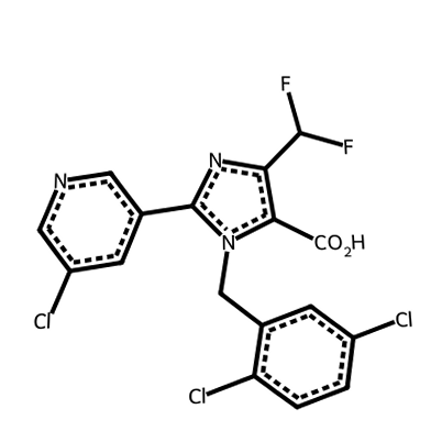 O=C(O)c1c(C(F)F)nc(-c2cncc(Cl)c2)n1Cc1cc(Cl)ccc1Cl